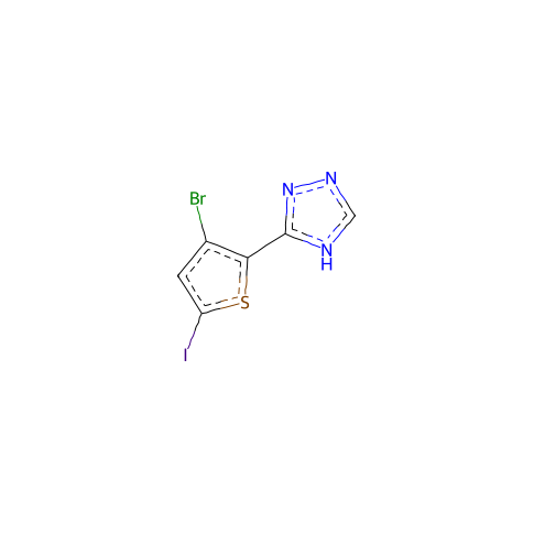 Brc1cc(I)sc1-c1nnc[nH]1